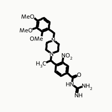 COc1ccc(CN2CCN(C(C)c3ccc(C(=O)NC(=N)N)cc3[N+](=O)[O-])CC2)c(OC)c1OC